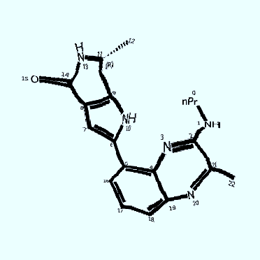 CCCNc1nc2c(-c3cc4c([nH]3)[C@@H](C)NC4=O)cccc2nc1C